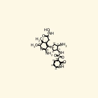 C=C1C(CC(=O)NO)=C(N2CC(N)C(NS(=O)(=O)c3ccc[nH]c3=O)C2)C(N)=NC1C